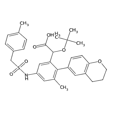 Cc1ccc(CS(=O)(=O)Nc2cc(C)c(-c3ccc4c(c3)CCCO4)c(C(OC(C)(C)C)C(=O)O)c2)cc1